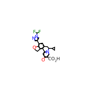 O=C(O)c1cn2c(cc1=O)-c1c(cc(-c3cnn(C(F)F)c3)c3c1CCO3)CC2C1CC1